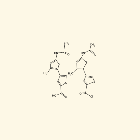 CC(=O)Nc1nc(C)c(-c2csc(C(=O)Cl)n2)s1.CC(=O)Nc1nc(C)c(-c2csc(C(=O)O)n2)s1